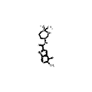 Cc1ncc2[nH]c(C(=O)NC3CCC[Si](C)(C)NC3)cc2c1F